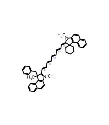 CN1/C(=C/C=C/C=C/C=C/C=C/C2=[N+](C)c3ccc4ccccc4c3C2(C)Cc2ccccc2)C2(CCCCC2)c2c1ccc1ccccc21